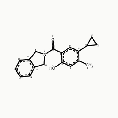 Cc1cc(O)c(C(=O)N2Cc3ccccc3C2)cc1C1CC1